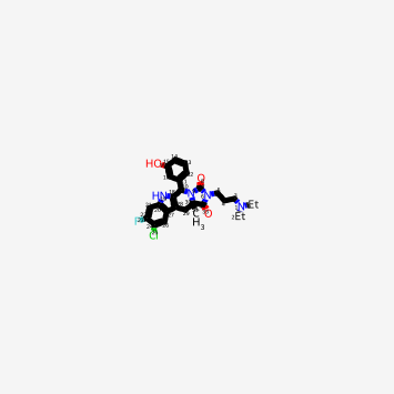 CCN(CC)CCCN1C(=O)N2C(c3cccc(O)c3)c3[nH]c4cc(F)c(Cl)cc4c3CC2(C)C1=O